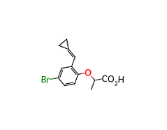 CC(Oc1ccc(Br)cc1C=C1CC1)C(=O)O